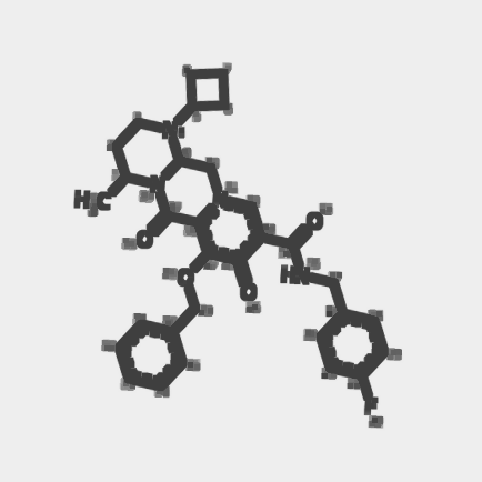 CC1CCN(C2CCC2)C2Cn3cc(C(=O)NCc4ccc(F)cc4)c(=O)c(OCc4ccccc4)c3C(=O)N12